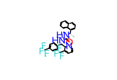 C[C@H](NC(=O)N[C@@H](c1ccc(C(F)(F)F)cc1)c1ncccc1C(F)(F)F)c1cccc2ccccc12